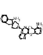 Nc1nccc(Sc2cnc(N3CCC4(CC3)Cc3cnccc3C4N)n3ccnc23)c1Cl